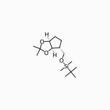 CC1(C)O[C@@H]2[C@@H](CO[Si](C)(C)C(C)(C)C)CC[C@@H]2O1